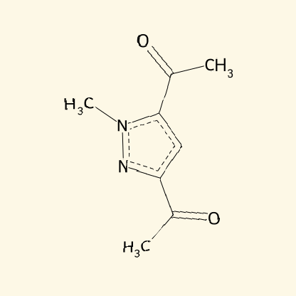 CC(=O)c1cc(C(C)=O)n(C)n1